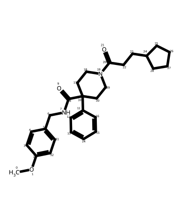 COc1ccc(CNC(=O)C2(c3ccccc3)CCN(C(=O)CCC3CCCC3)CC2)cc1